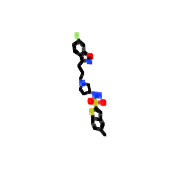 Cc1ccc2sc(S(=O)(=O)N[C@@H]3CCN(CCCc4noc5cc(F)ccc45)C3)cc2c1